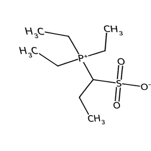 CCC([P+](CC)(CC)CC)S(=O)(=O)[O-]